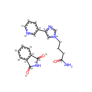 NC(=O)CCCn1cnc(-c2cccnc2)c1.O=C1NC(=O)c2ccccc21